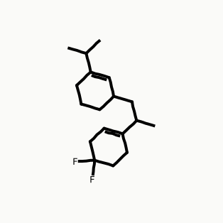 CC(C)C1=CC(CC(C)C2=CCC(F)(F)CC2)CCC1